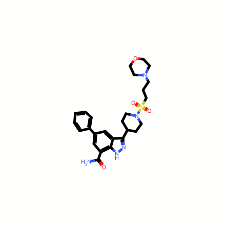 NC(=O)c1cc(-c2ccccc2)cc2c(C3CCN(S(=O)(=O)CCCN4CCOCC4)CC3)n[nH]c12